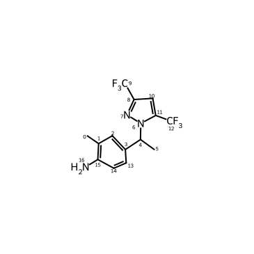 Cc1cc(C(C)n2nc(C(F)(F)F)cc2C(F)(F)F)ccc1N